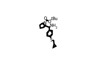 CC(C)(C)OC(=O)N1C2CCC(C2)C1C(N)c1ccc(SCC2CC2)cc1